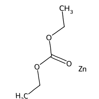 CCOC(=O)OCC.[Zn]